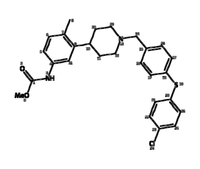 COC(=O)Nc1ccc(C)c(C2CCN(Cc3ccc(Sc4ccc(Cl)cc4)cc3)CC2)c1